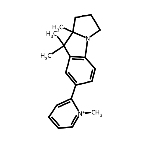 C[n+]1ccccc1-c1ccc2c(c1)C(C)(C)C1(C)CCCN21